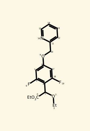 CCOC(=O)C(OCC)c1c(F)cc(OCc2ccccn2)cc1F